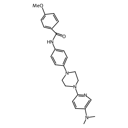 COc1ccc(C(=O)Nc2ccc(N3CCN(c4ccc(N(C)C)cn4)CC3)cc2)cc1